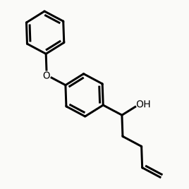 C=CCCC(O)c1ccc(Oc2ccccc2)cc1